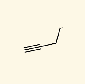 C#CC[CH2]